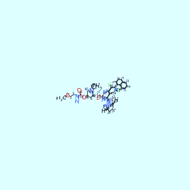 COCCNC(=O)O[C@@H]1C[C@@H](COc2nc(N3C[C@H]4CC[C@@H](C3)N4)c3cnc(-c4cccc5cccc(Cl)c45)c(F)c3n2)N(C)C1